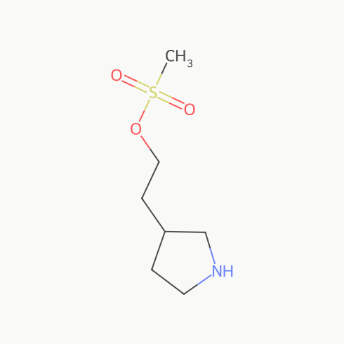 CS(=O)(=O)OCCC1CCNC1